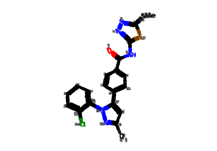 CSc1nnc(NC(=O)c2ccc(-c3cc(C(F)(F)F)nn3-c3ccccc3Cl)cc2)s1